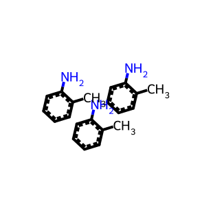 Cc1ccccc1N.Cc1ccccc1N.Cc1ccccc1N